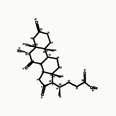 CC[C@H]1C(=O)C2C3CC(=O)[C@H]([C@H](C)CCC(=O)OC)[C@@]3(C)CCC2[C@@]2(C)CCC(=O)C[C@@H]12